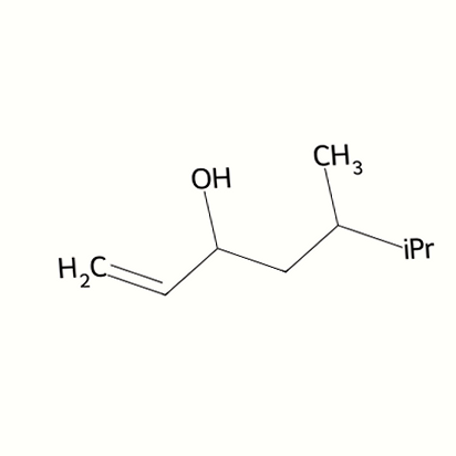 C=CC(O)CC(C)C(C)C